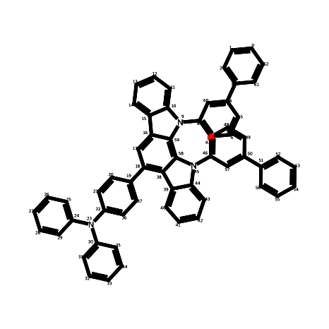 c1ccc(-c2cccc(-n3c4ccccc4c4cc(-c5ccc(N(c6ccccc6)c6ccccc6)cc5)c5c6ccccc6n(-c6cccc(-c7ccccc7)c6)c5c43)c2)cc1